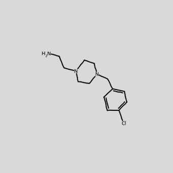 NCCN1CCN(Cc2ccc(Cl)cc2)CC1